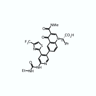 CCNC(=O)Nc1cc(-c2nc(C(F)(F)F)cs2)c(-c2ccc3c(c2)c(=O)c(C(=O)NC)cn3[C@H](C(=O)O)C(C)C)cn1